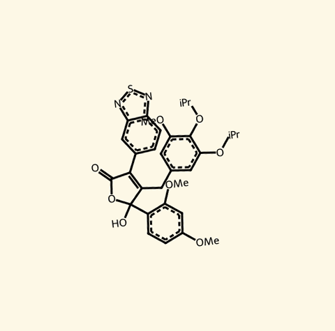 COc1ccc(C2(O)OC(=O)C(c3ccc4nsnc4c3)=C2Cc2cc(OC)c(OC(C)C)c(OC(C)C)c2)c(OC)c1